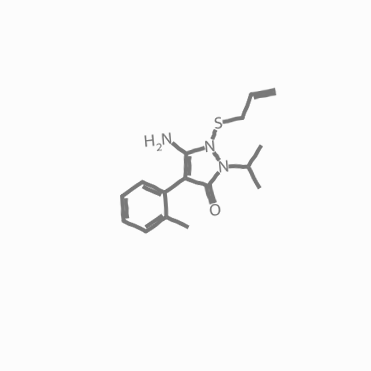 C=CCSn1c(N)c(-c2ccccc2C)c(=O)n1C(C)C